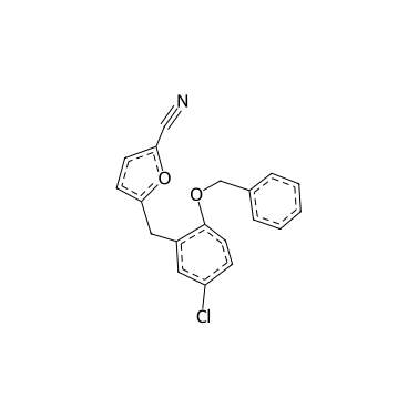 N#Cc1ccc(Cc2cc(Cl)ccc2OCc2ccccc2)o1